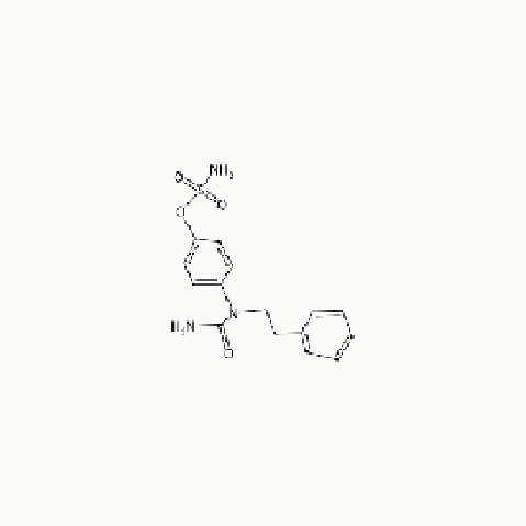 NC(=O)N(CCc1ccccc1)c1ccc(OS(N)(=O)=O)cc1